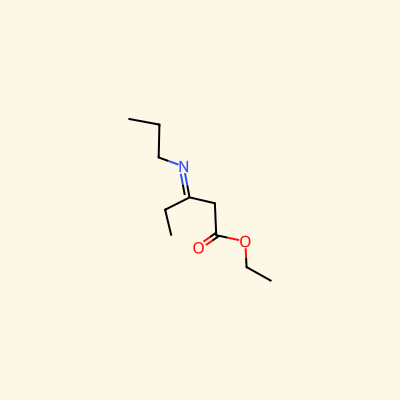 CCC/N=C(\CC)CC(=O)OCC